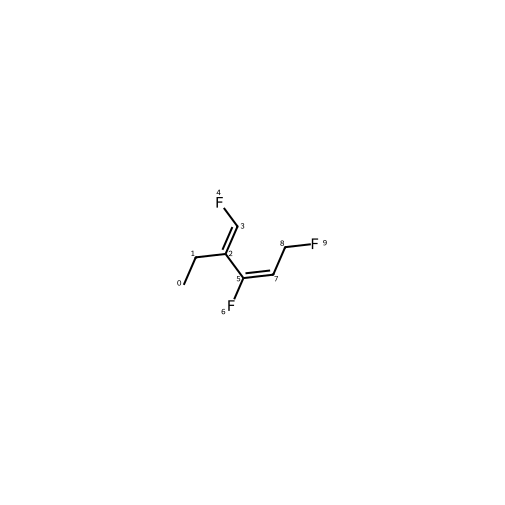 CCC(=C\F)/C(F)=C\CF